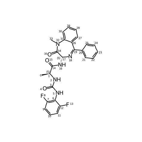 C[C@H](NC(=O)Nc1c(F)cccc1F)C(=O)N[C@H]1N=C(c2ccccc2)c2ccccc2N(C)C1=O